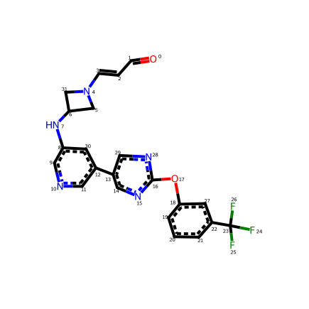 O=CC=CN1CC(Nc2cncc(-c3cnc(Oc4cccc(C(F)(F)F)c4)nc3)c2)C1